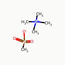 CS(=O)(=O)[O-].C[N+](C)(C)C